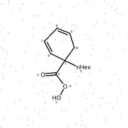 CCCCCCC1(C(=O)OO)C=CC=CC1